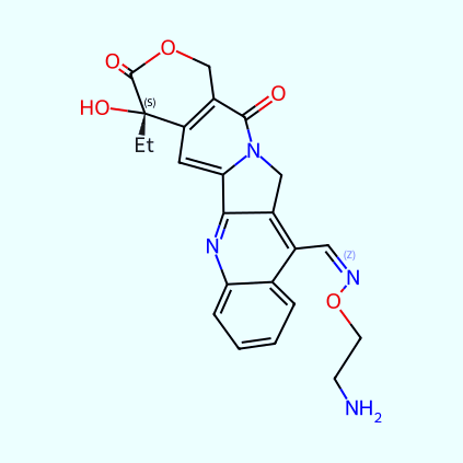 CC[C@@]1(O)C(=O)OCc2c1cc1n(c2=O)Cc2c-1nc1ccccc1c2/C=N\OCCN